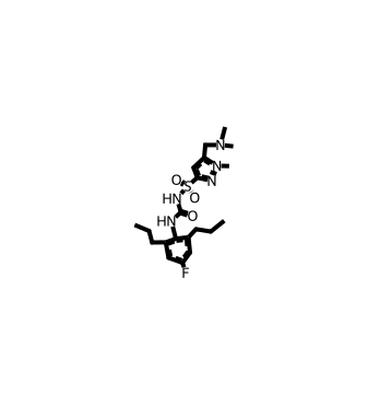 CCCc1cc(F)cc(CCC)c1NC(=O)NS(=O)(=O)c1cc(CN(C)C)n(C)n1